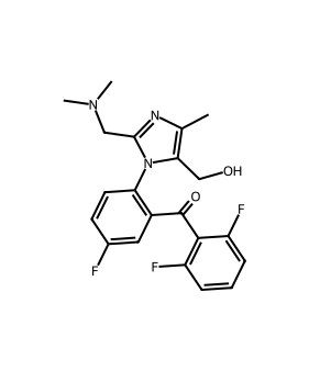 Cc1nc(CN(C)C)n(-c2ccc(F)cc2C(=O)c2c(F)cccc2F)c1CO